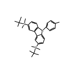 Cc1ccc(-n2c3ccc([Si](C)(C)C(C)(C)C)cc3c3cc([Si](C)(C)C(C)(C)C)ccc32)cc1